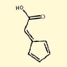 O=C(O)C=C1C=CC=C1